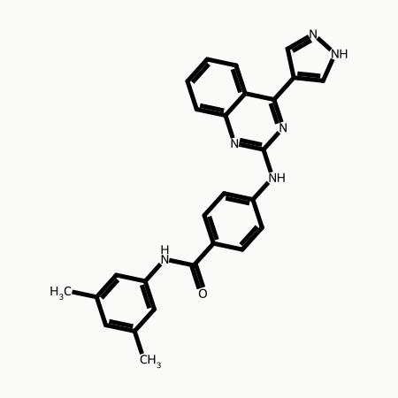 Cc1cc(C)cc(NC(=O)c2ccc(Nc3nc(-c4cn[nH]c4)c4ccccc4n3)cc2)c1